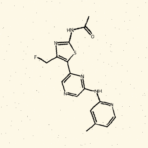 CC(=O)Nc1nc(CF)c(-c2cncc(Nc3cc(C)ccn3)n2)s1